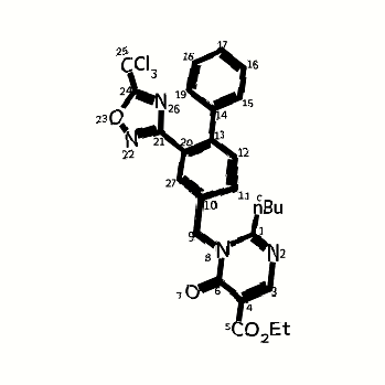 CCCCc1ncc(C(=O)OCC)c(=O)n1Cc1ccc(-c2ccccc2)c(-c2noc(C(Cl)(Cl)Cl)n2)c1